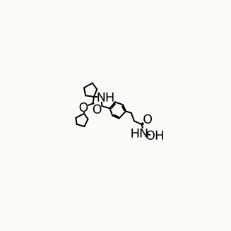 O=C(CCc1ccc(CNC2(C(=O)OC3CCCC3)CCCC2)cc1)NO